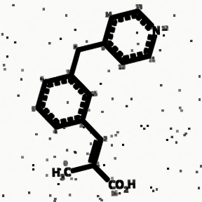 CC(=Cc1cccc(Cc2ccncc2)c1)C(=O)O